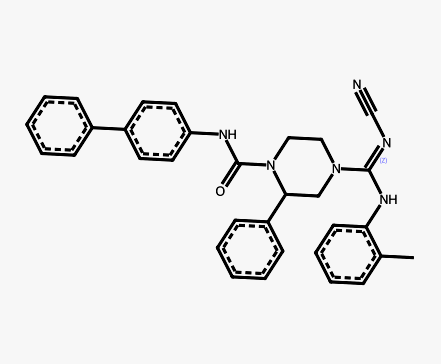 Cc1ccccc1N/C(=N/C#N)N1CCN(C(=O)Nc2ccc(-c3ccccc3)cc2)C(c2ccccc2)C1